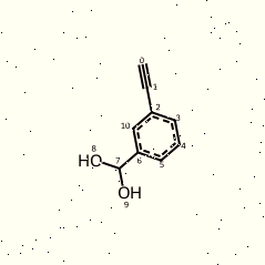 C#Cc1cccc(C(O)O)c1